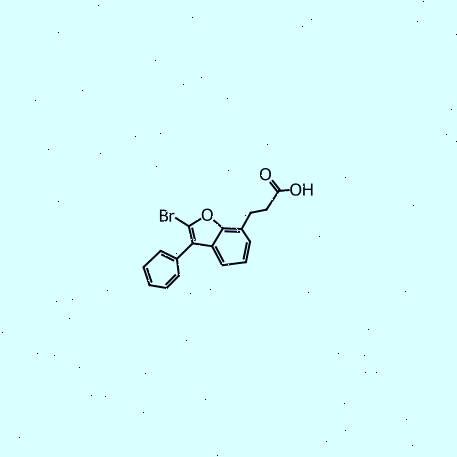 O=C(O)CCc1cccc2c(-c3ccccc3)c(Br)oc12